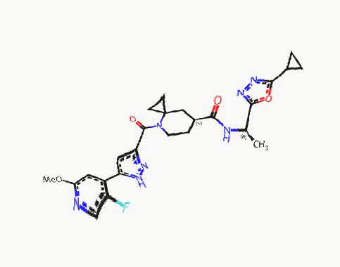 COc1cc(-c2cc(C(=O)N3CC[C@H](C(=O)N[C@H](C)c4nnc(C5CC5)o4)CC34CC4)n[nH]2)c(F)cn1